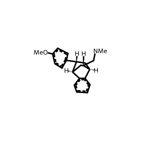 CNC[C@H]1C[C@H]2c3ccccc3[C@@H]1C[C@H]2c1ccc(OC)cc1